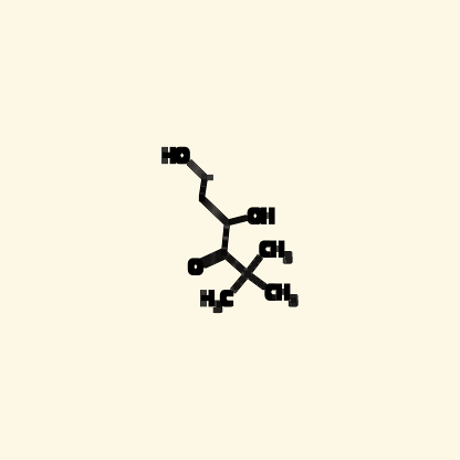 CC(C)(C)C(=O)C(O)C[CH]O